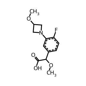 COC1CN(c2cc(C(OC)C(=O)O)ccc2F)C1